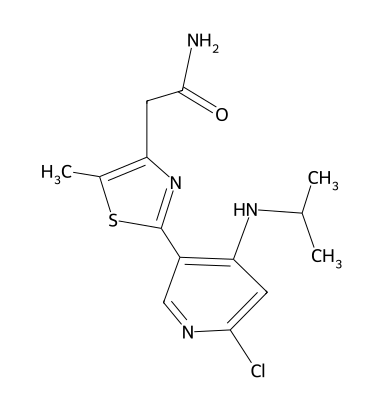 Cc1sc(-c2cnc(Cl)cc2NC(C)C)nc1CC(N)=O